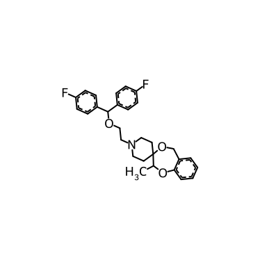 CC1Oc2ccccc2COC12CCN(CCOC(c1ccc(F)cc1)c1ccc(F)cc1)CC2